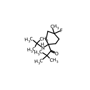 CC1(F)CCC(NC(C)(C)C)(C(=O)C(C)(C)C)CC1